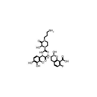 NCCCN1CCN(C(=O)N[C@H](C(=O)N[C@H]2Cc3ccc(F)c(C(=O)O)c3OB2O)c2ccc(O)c(O)c2Cl)C(O)C1=O